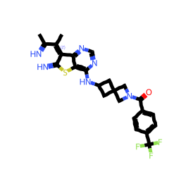 CC(=N)/C(C)=C1\C(=N)Sc2c(NC3CC4(C3)CN(C(=O)c3ccc(C(F)(F)F)cc3)C4)ncnc21